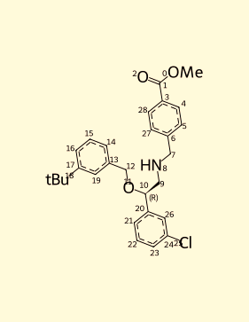 COC(=O)c1ccc(CNC[C@H](OCc2cccc(C(C)(C)C)c2)c2cccc(Cl)c2)cc1